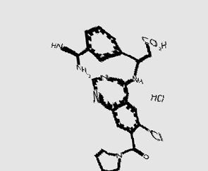 Cl.N=C(N)c1cccc(C(CC(=O)O)Nc2ncnc3cc(C(=O)N4CCCC4)c(Cl)cc23)c1